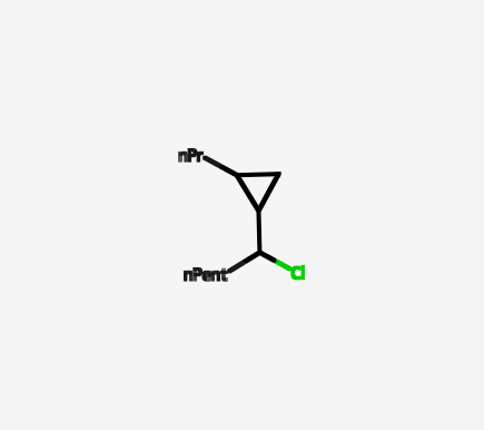 CCCCCC(Cl)C1CC1CCC